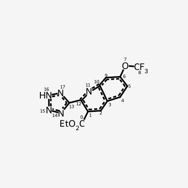 CCOC(=O)c1cc2ccc(OC(F)(F)F)cc2nc1-c1nn[nH]n1